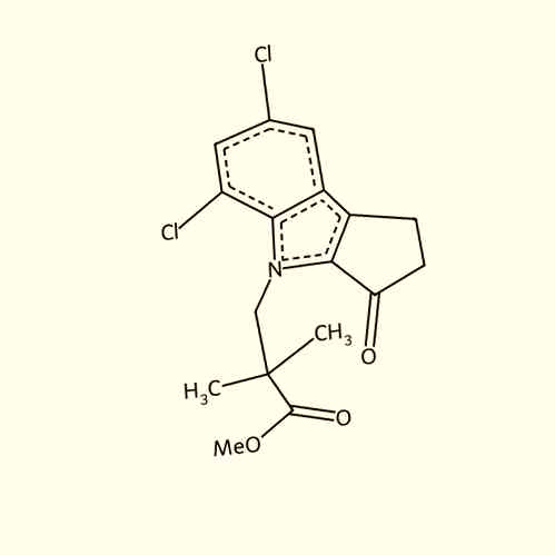 COC(=O)C(C)(C)Cn1c2c(c3cc(Cl)cc(Cl)c31)CCC2=O